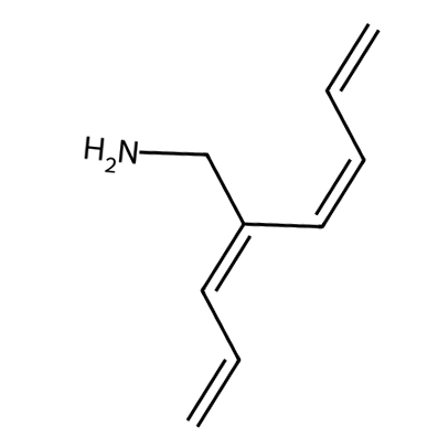 C=C/C=C\C(=C/C=C)CN